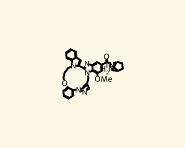 COc1cc(C(=O)N2CC3CCC2[C@@H]3N)cc2nc3n(c12)Cc1cnn(c1)-c1ccccc1OCCCn1c-3cc2ccccc21